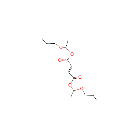 CCCOC(C)OC(=O)/C=C/C(=O)OC(C)OCCC